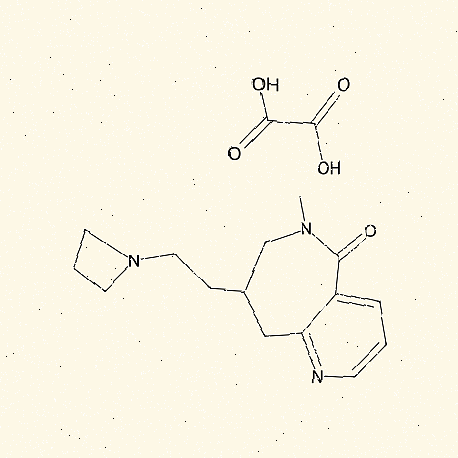 CN1CC(CCN2CCC2)Cc2ncccc2C1=O.O=C(O)C(=O)O